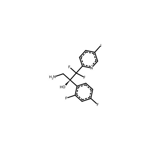 NC[C@@](O)(c1ccc(F)cc1F)C(F)(F)c1ccc(I)cn1